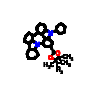 CC1(C)OB(c2cc3c4c5c(cccc5n3-c3ccccc3)c3cccc5c6ccccc6n(c4c2)c35)OC1(C)C